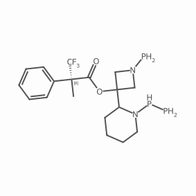 C[C@](C(=O)OC1(C2CCCCN2PP)CN(P)C1)(c1ccccc1)C(F)(F)F